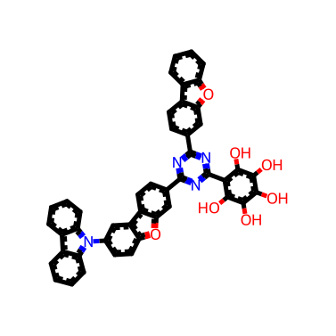 Oc1c(O)c(O)c(-c2nc(-c3ccc4c(c3)oc3ccccc34)nc(-c3ccc4c(c3)oc3ccc(-n5c6ccccc6c6ccccc65)cc34)n2)c(O)c1O